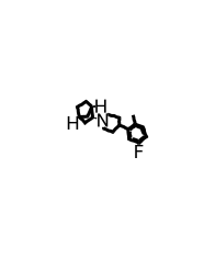 Cc1ccc(F)cc1C1CCN([C@@H]2C[C@H]3CC[C@H]2C3)CC1